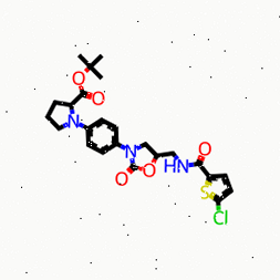 CC(C)(C)OC(=O)C1CCCN1c1ccc(N2CC(CNC(=O)c3ccc(Cl)s3)OC2=O)cc1